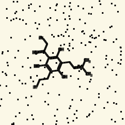 CC(C)=CCc1c(O)c(CCC(C)C)c(O)c(C(=N)CC(C)C)c1O